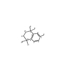 Cc1ccc2c(c1)C(C)(C)[CH]CC2(C)C